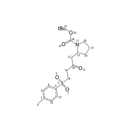 Cc1ccc(S(=O)(=O)CCC(=O)CC2CCCN2C(=O)OC(C)(C)C)cc1